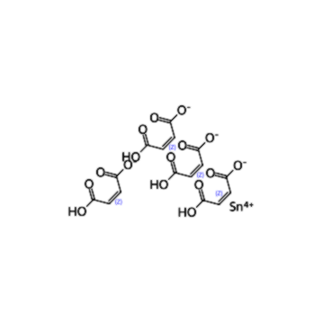 O=C([O-])/C=C\C(=O)O.O=C([O-])/C=C\C(=O)O.O=C([O-])/C=C\C(=O)O.O=C([O-])/C=C\C(=O)O.[Sn+4]